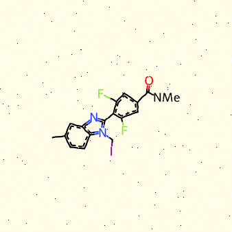 CNC(=O)c1cc(F)c(-c2nc3cc(C)ccc3n2CI)c(F)c1